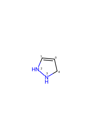 C1=CNNC1